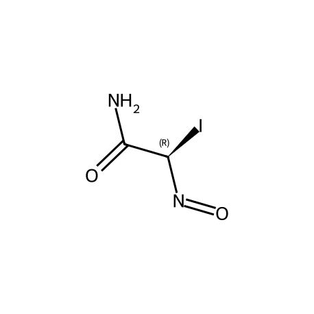 NC(=O)[C@@H](I)N=O